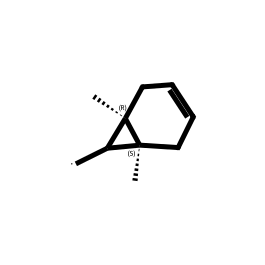 [CH2]C1[C@]2(C)CC=CC[C@]12C